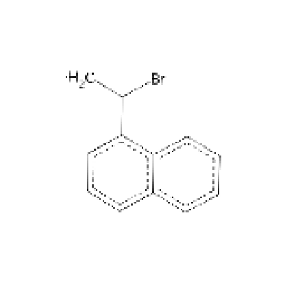 [CH2]C(Br)c1cccc2ccccc12